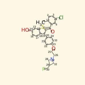 Cc1ccc(Cl)cc1C(=O)c1sc2cc(O)ccc2c1-c1ccc(OCCN2CC(CF)C2)cc1